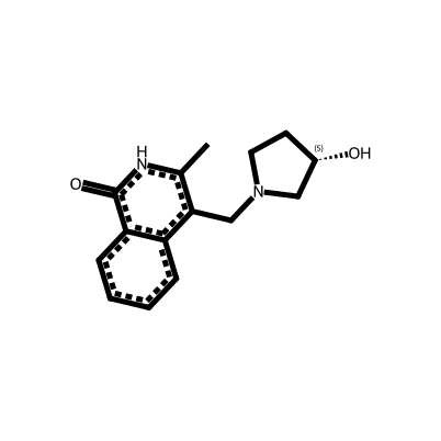 Cc1[nH]c(=O)c2ccccc2c1CN1CC[C@H](O)C1